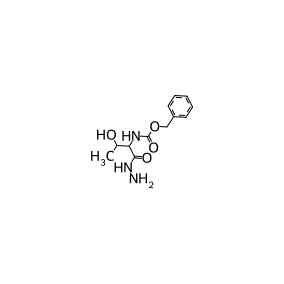 CC(O)C(NC(=O)OCc1ccccc1)C(=O)NN